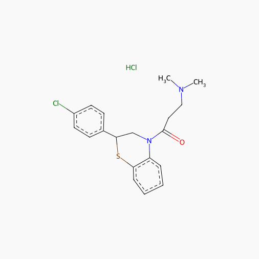 CN(C)CCC(=O)N1CC(c2ccc(Cl)cc2)Sc2ccccc21.Cl